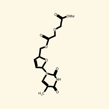 COC(=O)COCC(=O)OCC1C=CC(n2cc(C)c(=O)[nH]c2=O)O1